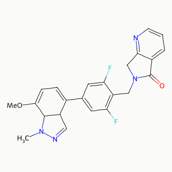 COC1=CC=C(c2cc(F)c(CN3Cc4ncccc4C3=O)c(F)c2)C2C=NN(C)C12